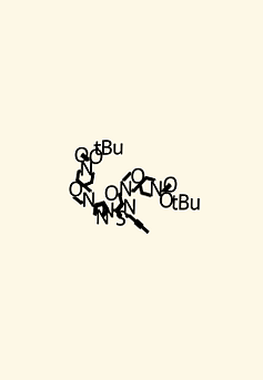 CC#Cc1nc(C(=O)N2CCOC3(CCN(C(=O)OC(C)(C)C)CC3)C2)c(-n2cc(N3CCOC4(CCN(C(=O)OC(C)(C)C)CC4)C3)cn2)s1